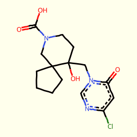 O=C(O)N1CCC(O)(Cn2cnc(Cl)cc2=O)C2(CCCC2)C1